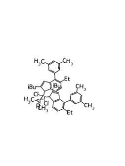 CCc1ccc2c(c1-c1cc(C)cc(C)c1)C=C(C(C)CC)[CH]2[Zr]([Cl])([Cl])([CH]1C(C(C)CC)=Cc2c1ccc(CC)c2-c1cc(C)cc(C)c1)[SiH](C)C